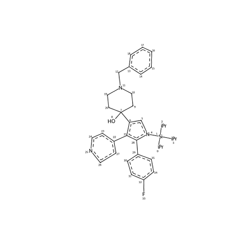 CC(C)[Si](C(C)C)(C(C)C)n1cc(C2(O)CCN(Cc3ccccc3)CC2)c(-c2ccncc2)c1-c1ccc(F)cc1